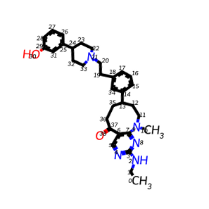 CCNc1ncc2c(n1)N(C)CCC(c1cccc(CCN3CCC(c4cccc(O)c4)CC3)c1)CCC2=O